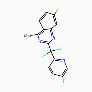 CSc1nc(C(F)(F)c2ccc(F)cn2)nc2cc(Cl)ccc12